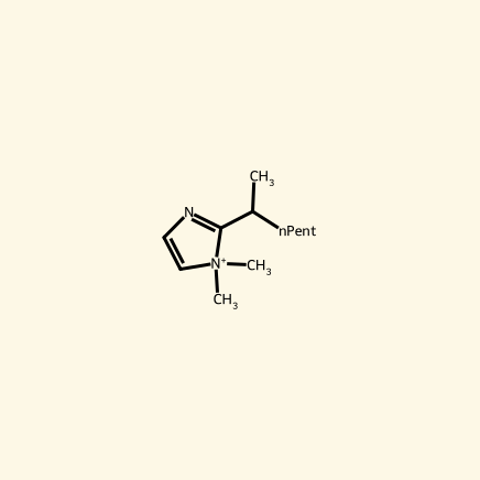 CCCCCC(C)C1=NC=C[N+]1(C)C